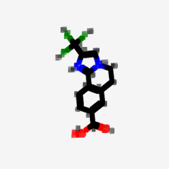 O=C(O)c1ccc2c(c1)CCn1cc(C(F)(F)F)nc1-2